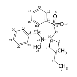 CCCC[C@]1(CC)CS(=O)(=O)c2ccccc2[C@@H](c2ccccc2)N1O